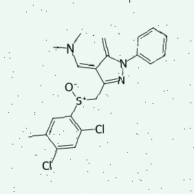 C=c1c(=CN(C)C)c(C[S+]([O-])c2cc(C)c(Cl)cc2Cl)nn1-c1ccccc1